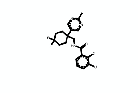 Cc1ncc(C2(CNC(=O)c3cccc(Cl)c3Cl)CCC(F)(F)CC2)cn1